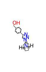 CN1[C@@H]2CC[C@H]1C[C@@H](n1cc(-c3ccc(CO)cc3)nn1)C2